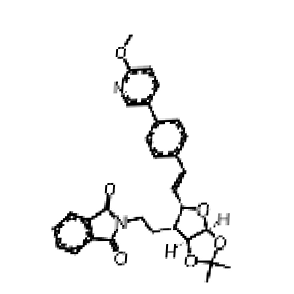 COc1ccc(-c2ccc(C=C[C@H]3O[C@H]4OC(C)(C)O[C@H]4[C@H]3CCN3C(=O)c4ccccc4C3=O)cc2)cn1